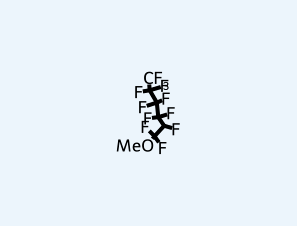 COC(F)(F)C(F)C(F)(F)C(F)(F)C(F)(F)C(F)(F)F